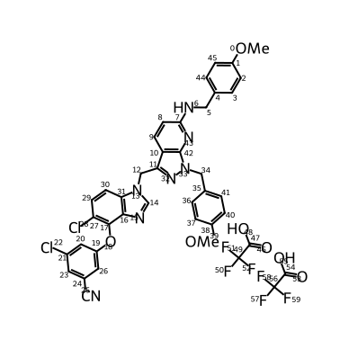 COc1ccc(CNc2ccc3c(Cn4cnc5c(Oc6cc(Cl)cc(C#N)c6)c(Cl)ccc54)nn(Cc4ccc(OC)cc4)c3n2)cc1.O=C(O)C(F)(F)F.O=C(O)C(F)(F)F